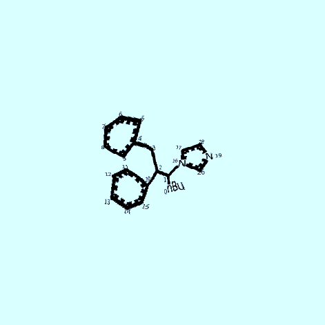 CCCCC(C(Cc1ccccc1)c1ccccc1)n1ccnc1